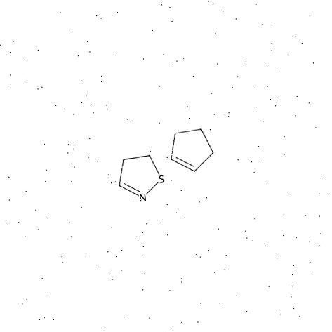 C1=CCCC1.C1=NSCC1